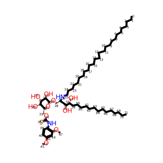 CCCCCCCCCCCCCCCCCCCCCCCCCCN[C@@H](CO[C@@H]1O[C@H](COC(=S)Nc2ccc(OC)cc2OC)[C@H](O)[C@H](O)[C@H]1O)[C@H](O)[C@H](O)CCCCCCCCCCCCCC